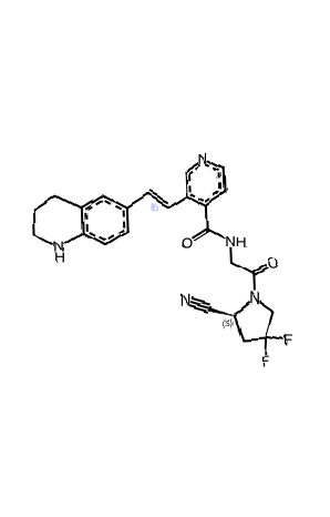 N#C[C@@H]1CC(F)(F)CN1C(=O)CNC(=O)c1ccncc1/C=C/c1ccc2c(c1)CCCN2